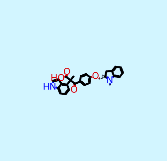 CN1c2ccccc2C[C@H]1COc1ccc(C(=O)C(C)(C(=O)O)c2cccc3[nH]ccc23)cc1